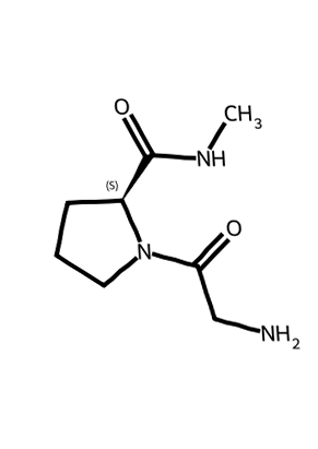 CNC(=O)[C@@H]1CCCN1C(=O)CN